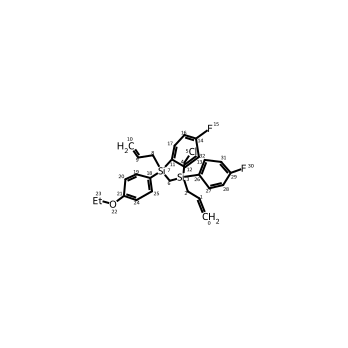 C=CC[Si](CCl)(C[Si](CC=C)(c1ccc(F)cc1)c1ccc(OCC)cc1)c1ccc(F)cc1